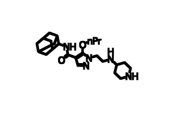 CCCOc1c(C(=O)NC2C3CC4CC(C3)CC2C4)cnn1CCNC1CCNCC1